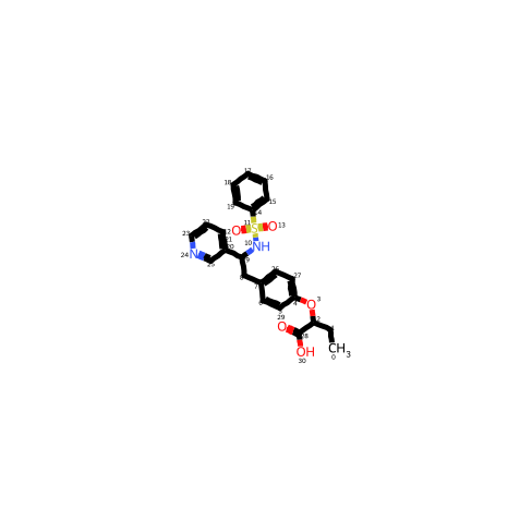 CCC(Oc1ccc(CC(NS(=O)(=O)c2ccccc2)c2cccnc2)cc1)C(=O)O